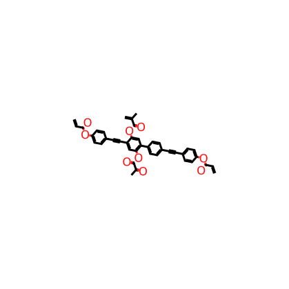 C=CC(=O)Oc1ccc(C#Cc2ccc(-c3cc(OC(=O)C(=C)C)c(C#Cc4ccc(OC(=O)C=C)cc4)cc3OC(=O)C(C)=O)cc2)cc1